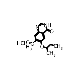 CCC(C)Oc1cc2c(=O)[nH]cnc2cc1OC.Cl